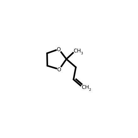 C=CCC1(C)OCCO1